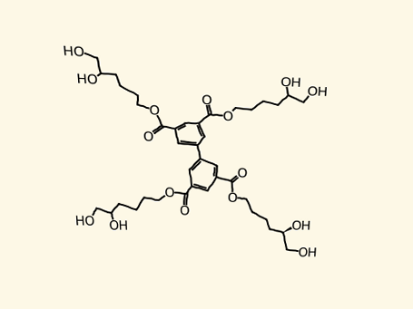 O=C(OCCCCC(O)CO)c1cc(C(=O)OCCCCC(O)CO)cc(-c2cc(C(=O)OCCCCC(O)CO)cc(C(=O)OCCCC[C@@H](O)CO)c2)c1